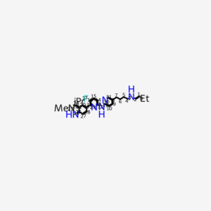 CC/C=C/NCCCCc1ccc(Nc2ccc(F)c(C3=C/C(=C(/NC)C(C)C)C(=N)C=C3)n2)nc1